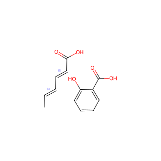 C/C=C/C=C/C(=O)O.O=C(O)c1ccccc1O